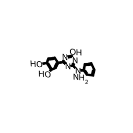 NN(c1ccccc1)c1nc(O)nc(-c2ccc(O)c(O)c2)n1